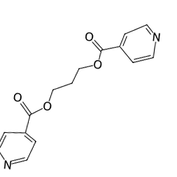 O=C(OCCCOC(=O)c1ccncc1)c1ccncc1